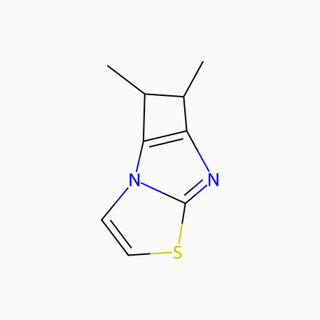 CC1c2nc3sccn3c2C1C